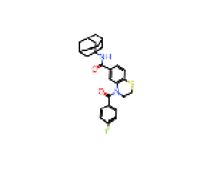 O=C(NC12CC3CC(CC(C3)C1)C2)c1ccc2c(c1)N(C(=O)c1ccc(F)cc1)CCS2